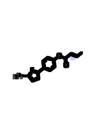 C/C=C/C(=O)Oc1ccc(-c2ccc(CCC)s2)cc1